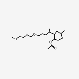 COCCOCOCCCC(C)C1CN(C)CCC1OC(C)=O